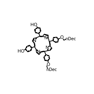 CCCCCCCCCCCOc1ccc(C2=C3C=CC(=N3)C(c3ccc(OCCCCCCCCCCC)cc3)=C3C=CC(=N3)C(c3ccc(O)cc3)=C3C=CC(=N3)C(c3ccc(O)cc3)=C3C=CC2=N3)cc1